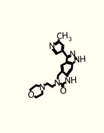 Cc1cc(-c2n[nH]c3cc4c(cc23)CN(CCN2CCOCC2)C(=O)N4)ccn1